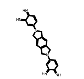 N=C1C=CC(N2Cc3cc4c(cc3C2)CN(C2=CC(=N)C(=N)C=C2)C4)=CC1=N